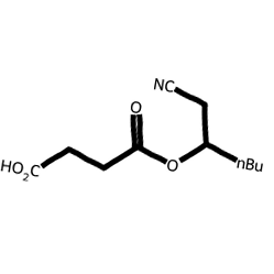 CCCCC(CC#N)OC(=O)CCC(=O)O